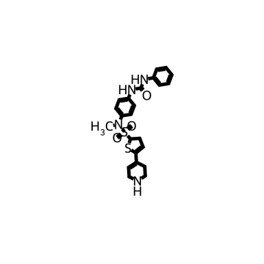 CN(c1ccc(NC(=O)Nc2ccccc2)cc1)S(=O)(=O)C1CC=C(C2=CCNCC2)S1